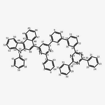 c1ccc(-c2nc(-c3cccc(-c4cccc(-c5nc(-c6ccccc6)nc(-c6ccccc6)n5)c4)c3)cc(-c3cc4c(c5ccccc35)c3ccccc3n4-c3ccccc3)n2)cc1